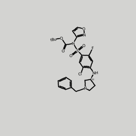 CC(C)(C)OC(=O)N(c1ccon1)S(=O)(=O)c1cc(Cl)c(N[C@H]2CCN(Cc3ccccc3)C2)cc1F